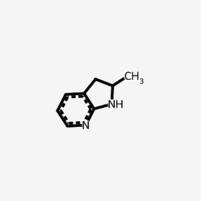 CC1Cc2cccnc2N1